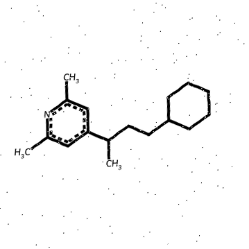 Cc1cc(C(C)CCC2CCCCC2)cc(C)n1